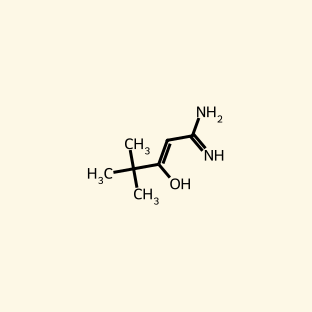 CC(C)(C)/C(O)=C/C(=N)N